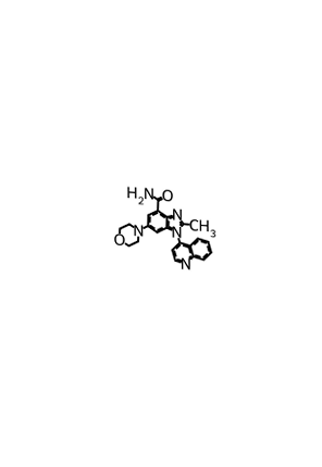 Cc1nc2c(C(N)=O)cc(N3CCOCC3)cc2n1-c1ccnc2ccccc12